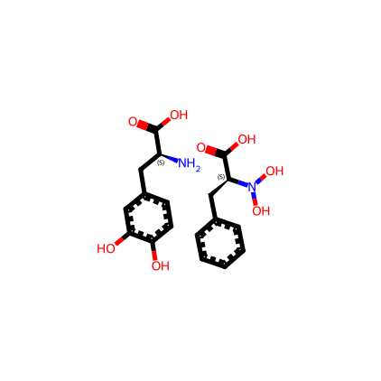 N[C@@H](Cc1ccc(O)c(O)c1)C(=O)O.O=C(O)[C@H](Cc1ccccc1)N(O)O